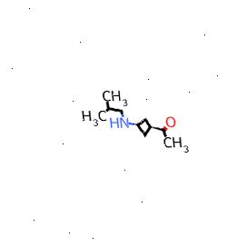 CC(=O)[C@H]1C[C@@H](NCC(C)C)C1